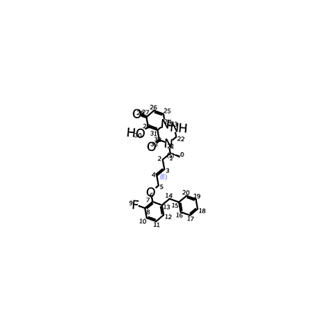 C[C@@H](C/C=C/COc1c(F)cccc1Cc1ccccc1)N1CNn2ccc(=O)c(O)c2C1=O